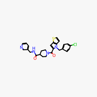 O=C(NCc1cccnc1)C1CCN(C(=O)c2cc3sccc3n2Cc2ccc(Cl)cc2)CC1